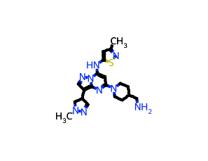 Cc1cc(Nc2cc(N3CCC(CN)CC3)nc3c(C4C=NN(C)C4)cnn23)sn1